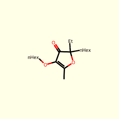 CCCCCCOC1=C(C)OC(CC)(CCCCCC)C1=O